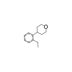 CCc1ccccc1C1CCOCC1